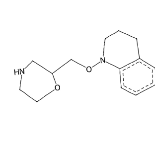 c1ccc2c(c1)CCCN2OCC1CNCCO1